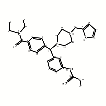 CCN(CC)C(=O)c1ccc([C@H](c2cccc(NC(=O)OC)c2)N2CCN(Cc3cccs3)CC2)cc1